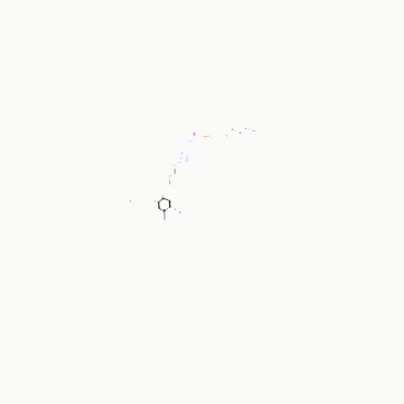 CCOC(=O)CCCCCOCCOC(=O)NCCNC(=O)CCCOc1cc([N+](=O)[O-])c(CO)cc1OC